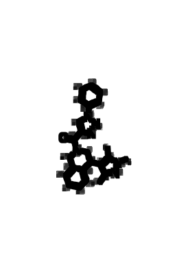 Cc1nn(C)c(C)c1C1CN(C(=O)c2cn(-c3ccccc3)nn2)Cc2ccccc21